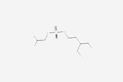 NC(CNS(=O)(=O)NCCC(CO)CO)C(=O)O